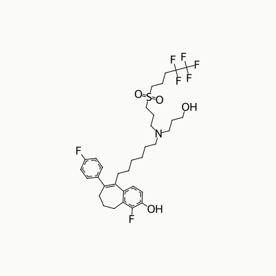 O=S(=O)(CCCN(CCCO)CCCCCCC1=C(c2ccc(F)cc2)CCCc2c1ccc(O)c2F)CCCC(F)(F)C(F)(F)F